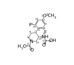 COc1cc(F)c(C2CCN(C(C)=O)CC2NC(=O)O)c(F)c1